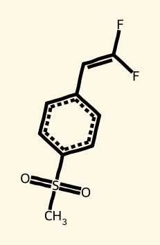 CS(=O)(=O)c1ccc(C=C(F)F)cc1